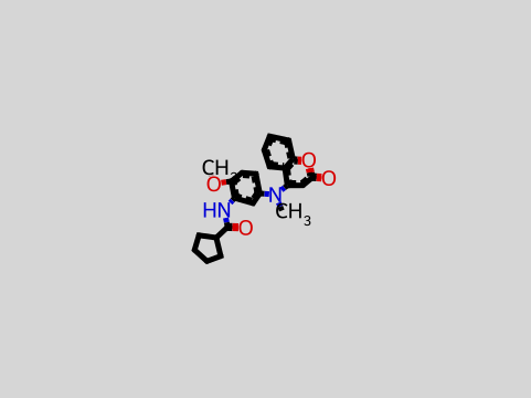 COc1ccc(N(C)c2cc(=O)oc3ccccc23)cc1NC(=O)C1CCCC1